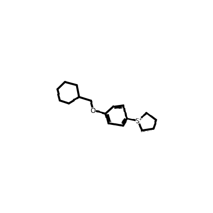 c1cc([S+]2CCCC2)ccc1OCC1CCCCC1